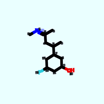 C/N=C(/C)CC(C)C1CC(O)CC(F)C1